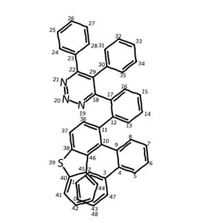 c1ccc(-c2ccccc2-c2c(-c3ccccc3-c3nnnc(-c4ccccc4)c3-c3ccccc3)ccc3sc4ccccc4c23)cc1